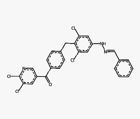 O=C(c1ccc(Cc2c(Cl)cc(NN=Cc3ccccc3)cc2Cl)cc1)c1cnc(Cl)c(Cl)c1